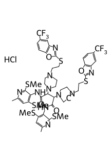 CSc1cc(C)nc(SC)c1NC(=O)C(C(C(=O)Nc1c(SC)cc(C)nc1SC)N1CCN(CCSc2nc3cc(C(F)(F)F)ccc3o2)CC1)N1CCN(CCSc2nc3cc(C(F)(F)F)ccc3o2)CC1.Cl